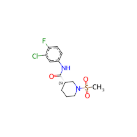 CS(=O)(=O)N1CCC[C@H](C(=O)Nc2ccc(F)c(Cl)c2)C1